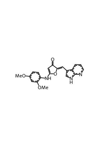 COc1ccc(NC2=CC(=O)C(=Cc3c[nH]c4ncccc34)O2)c(OC)c1